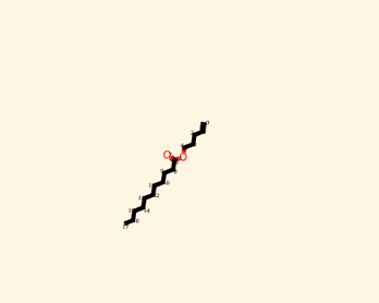 C=CCCCOC(=O)CCCCCCCCCC